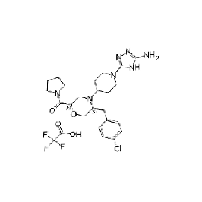 Nc1nnc(N2CCC(N3C[C@H](C(=O)N4CCCC4)OC[C@@H]3Cc3ccc(Cl)cc3)CC2)[nH]1.O=C(O)C(F)(F)F